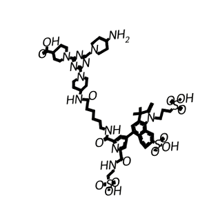 C=C1N(CCCS(=O)(=O)O)c2c(cc(-c3cc(C(=O)NCCCCCC(=O)NC4CCN(c5nc(N6CCC(N)CC6)nc(N6CCC(C(=O)O)CC6)n5)CC4)nc(C(=O)NCCS(=O)(=O)O)c3)c3ccc(S(=O)(=O)O)cc23)C1(C)C